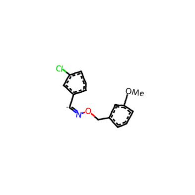 COc1cccc(CO/N=[C]\c2cccc(Cl)c2)c1